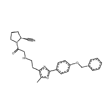 Cc1oc(-c2ccc(OCc3ccccc3)cc2)nc1CCNCC(=O)N1CCC[C@H]1C#N